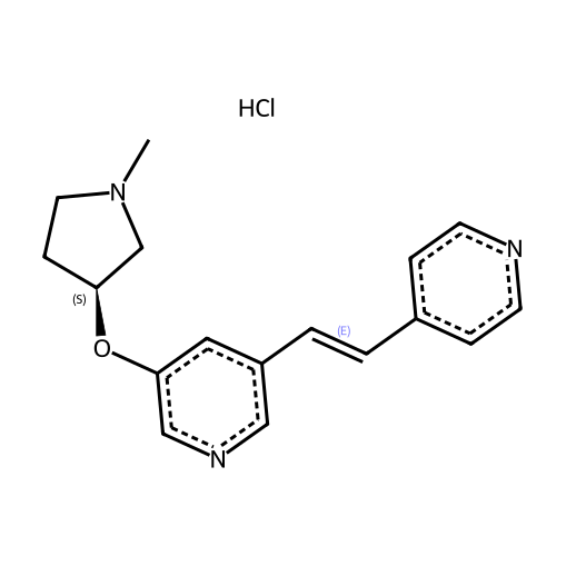 CN1CC[C@H](Oc2cncc(/C=C/c3ccncc3)c2)C1.Cl